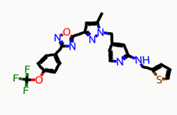 Cc1cc(-c2nc(-c3ccc(OC(F)(F)F)cc3)no2)nn1Cc1ccnc(NCc2cccs2)c1